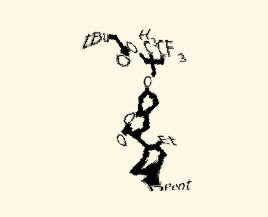 CCCCCc1ccc(-c2cc3ccc(OCC(C)(COC(=O)CC(C)(C)C)CC(F)(F)F)cc3oc2=O)c(CC)c1